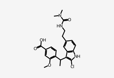 COc1cc(C(=O)O)ccc1C(C)c1c(Cl)[nH]c2ccc(CCNC(=O)N(C)C)cc12